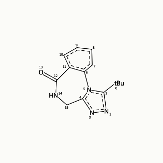 CC(C)(C)c1nnc2n1-c1ccccc1C(=O)NC2